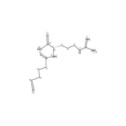 N=C(N)NCCC[C@H](NC(=O)CCCC=O)C(=O)O